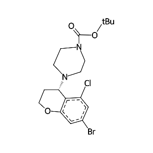 CC(C)(C)OC(=O)N1CCN([C@H]2CCOc3cc(Br)cc(Cl)c32)CC1